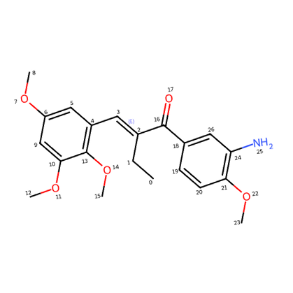 CC/C(=C\c1cc(OC)cc(OC)c1OC)C(=O)c1ccc(OC)c(N)c1